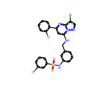 O=S(=O)(Nc1cccc(CNc2cc(-c3ccccc3Cl)nc3c(Br)cnn23)c1)c1cccc(Cl)c1